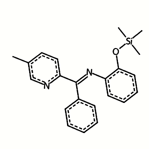 Cc1ccc(C(=Nc2ccccc2O[Si](C)(C)C)c2ccccc2)nc1